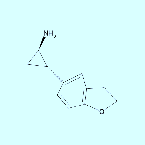 N[C@@H]1C[C@H]1c1ccc2c(c1)CCO2